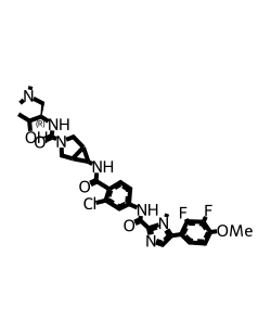 COc1ccc(-c2cnc(C(=O)Nc3ccc(C(=O)NC4C5CN(C(=O)N[C@H](CN(C)C)C(C)O)CC54)c(Cl)c3)n2C)c(F)c1F